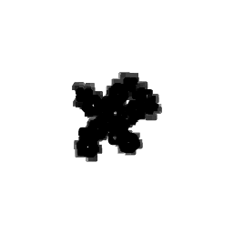 Cc1cc2c(cc1N1c3cc4c(oc5ccccc54)c4c3B(c3oc5ccc(C(C)(C)C)cc5c31)N(c1ccc(C(C)(C)C)cc1)c1cc3sc5ccccc5c3cc1-4)C(C)(C)CCC2(C)C